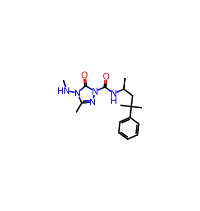 CNn1c(C)nn(C(=O)NC(C)CC(C)(C)c2ccccc2)c1=O